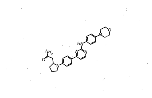 NC(=O)CC1CCCN1c1ccc(-c2ccnc(Nc3ccc(N4CCOCC4)cc3)n2)cc1